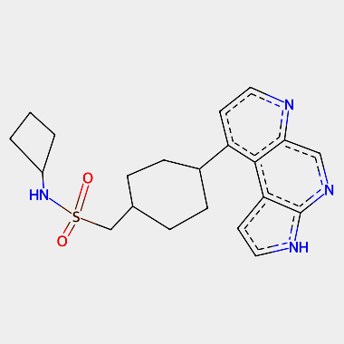 O=S(=O)(CC1CCC(c2ccnc3cnc4[nH]ccc4c23)CC1)NC1CCC1